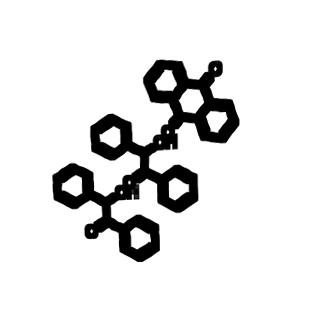 O=C(c1ccccc1)C(O)c1ccccc1.O=C(c1ccccc1)C(O)c1ccccc1.O=C1c2ccccc2C(=O)c2ccccc21